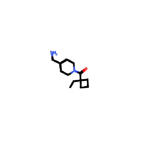 CCC1(C(=O)N2CCC(CN)CC2)CCC1